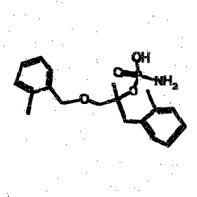 Cc1ccccc1COCC(C)(Cc1ccccc1C)OP(N)(=O)O